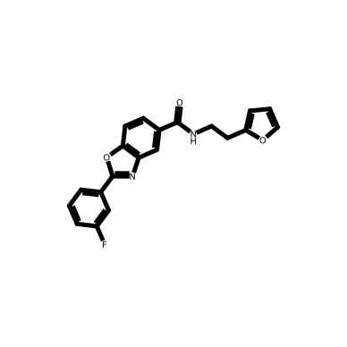 O=C(NCCc1ccco1)c1ccc2oc(-c3cccc(F)c3)nc2c1